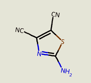 N#Cc1nc(N)sc1C#N